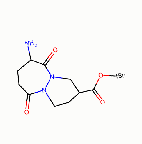 CC(C)(C)OC(=O)C1CCN2C(=O)CCC(N)C(=O)N2C1